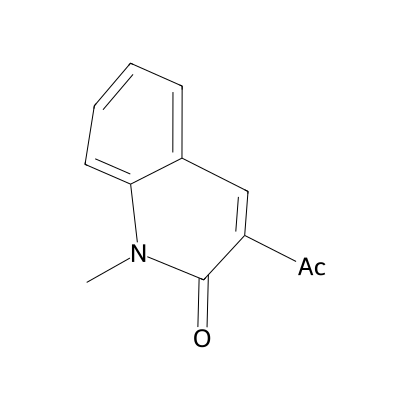 CC(=O)c1cc2ccccc2n(C)c1=O